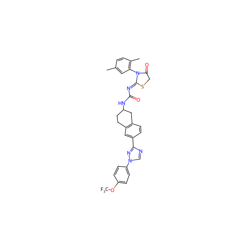 Cc1ccc(C)c(N2C(=O)CSC2=NC(=O)NC2CCc3cc(-c4ncn(-c5ccc(OC(F)(F)F)cc5)n4)ccc3C2)c1